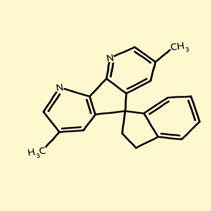 Cc1cnc2c(c1)C1(CCc3ccccc31)c1cc(C)cnc1-2